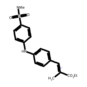 CCOC(=O)/C(C)=C/c1ccc(Nc2ccc(S(=O)(=O)NC)cc2)cc1